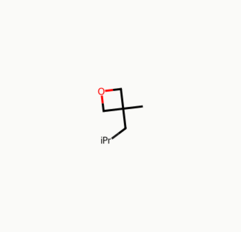 CC(C)CC1(C)COC1